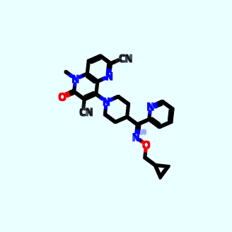 Cn1c(=O)c(C#N)c(N2CCC(/C(=N/OCC3CC3)c3ccccn3)CC2)c2nc(C#N)ccc21